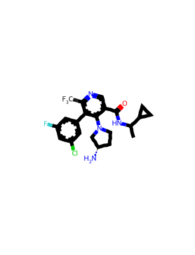 CC(NC(=O)c1cnc(C(F)(F)F)c(-c2cc(F)cc(Cl)c2)c1N1CC[C@H](N)C1)C1CC1